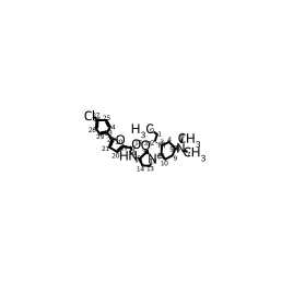 CCC[C@@H]1C[C@H](N(C)C)CC[C@@H]1N1CC[C@H](NC(=O)c2ccc(-c3ccc(Cl)cc3)o2)C1=O